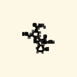 CC(C)(C)NC(=O)c1c(-c2cccc(Cl)c2)nn2c1CN(C(N)=O)CC2CO